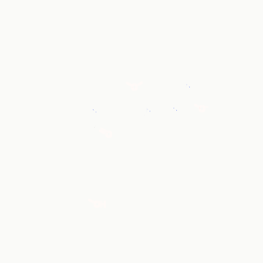 NC1=N[S+]([O-])Nc2cccc(OCC3CCCN(C(=O)c4cccc(-c5cccc(O)c5)c4)C3)c21